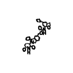 O=C1CCC(N2Cc3ccc(COC(=O)Nc4cc(Cl)cc5c4OCC5)cc3C2=O)C(=O)N1